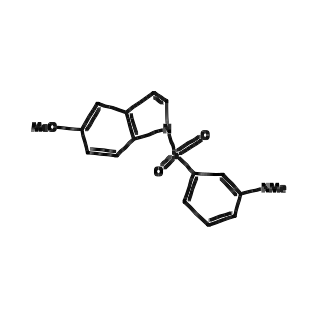 CNc1cccc(S(=O)(=O)n2ccc3cc(OC)ccc32)c1